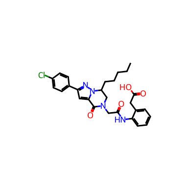 CCCCCC1CN(CC(=O)Nc2ccccc2CC(=O)O)C(=O)c2cc(-c3ccc(Cl)cc3)nn21